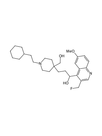 COc1ccc2ncc(CF)c(C(O)CCC3(CO)CCN(CCC4CCCCC4)CC3)c2c1